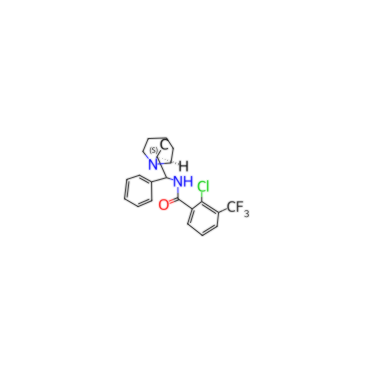 O=C(NC(c1ccccc1)[C@@H]1CC2CCN1CC2)c1cccc(C(F)(F)F)c1Cl